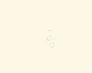 COC(=O)Cc1cc(OC)c(-c2ccccc2)c(OC)c1